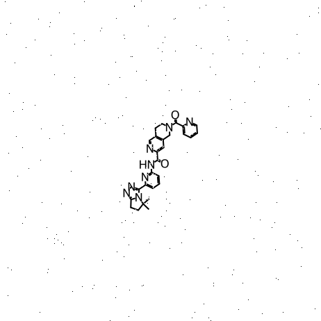 CC1(C)CCc2nnc(-c3cccc(NC(=O)c4cc5c(cn4)CCN(C(=O)c4ccccn4)C5)n3)n21